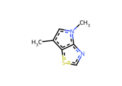 Cc1cn(C)c2ncsc12